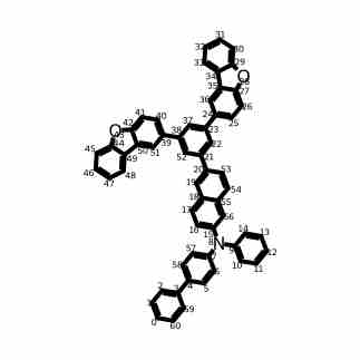 c1ccc(-c2ccc(N(c3ccccc3)c3ccc4cc(-c5cc(-c6ccc7oc8ccccc8c7c6)cc(-c6ccc7oc8ccccc8c7c6)c5)ccc4c3)cc2)cc1